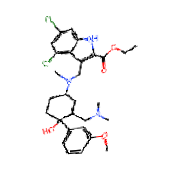 CCOC(=O)c1[nH]c2cc(Cl)cc(Cl)c2c1CN(C)C1CCC(O)(c2cccc(OC)c2)C(CN(C)C)C1